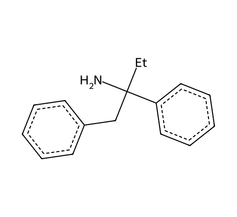 CCC(N)(Cc1ccccc1)c1ccccc1